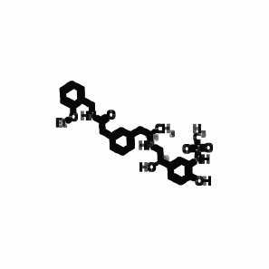 CCOc1ccccc1CNC(=O)Cc1cccc(C[C@@H](C)NC[C@@H](O)c2ccc(O)c(NS(C)(=O)=O)c2)c1